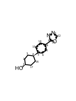 O[C@H]1CC[C@@H](c2ccc(-c3nnco3)cc2)CC1